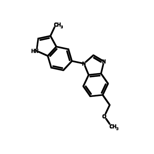 COCc1ccc2c(c1)ncn2-c1ccc2[nH]cc(C)c2c1